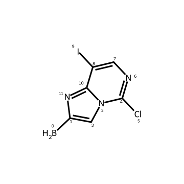 Bc1cn2c(Cl)ncc(I)c2n1